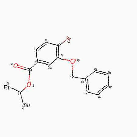 CCC(C)C(CC)OC(=O)c1ccc(Br)c(OCc2ccccc2)c1